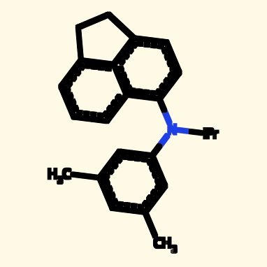 Cc1cc(C)cc(N(c2ccc3c4c(cccc24)CC3)C(C)C)c1